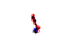 COc1ccc(Oc2cc(OCCCCOc3cc4c(cc3OC)C(=O)N3CCC[C@H]3C=N4)ccc2I)cc1